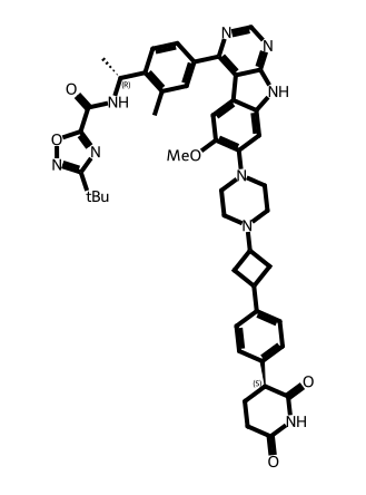 COc1cc2c(cc1N1CCN(C3CC(c4ccc([C@@H]5CCC(=O)NC5=O)cc4)C3)CC1)[nH]c1ncnc(-c3ccc([C@@H](C)NC(=O)c4nc(C(C)(C)C)no4)c(C)c3)c12